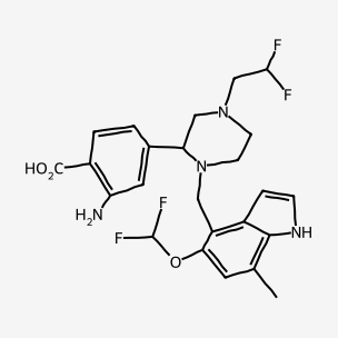 Cc1cc(OC(F)F)c(CN2CCN(CC(F)F)CC2c2ccc(C(=O)O)c(N)c2)c2cc[nH]c12